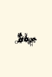 N#Cc1cc(S(=O)(=O)Nc2nccs2)ccc1Oc1ccc(Cl)cc1-n1ccnn1